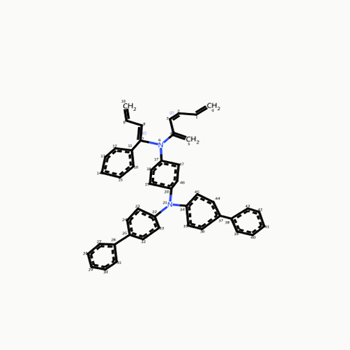 C=C/C=C\C(=C)N(/C(=C/C=C)c1ccccc1)c1ccc(N(c2ccc(-c3ccccc3)cc2)c2ccc(-c3ccccc3)cc2)cc1